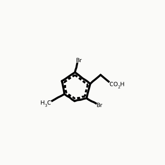 Cc1cc(Br)c(CC(=O)O)c(Br)c1